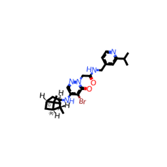 CC(C)c1cc(CNC(=O)Cn2ncc(N[C@@H]3C[C@@H]4C[C@H]([C@H]3C)C4(C)C)c(Br)c2=O)ccn1